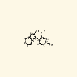 CCOC(=O)c1nc2ccccn2c1-c1ccc(F)nc1